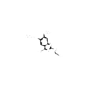 COc1cc2nc(NCC(C)C)nc(Cl)c2cc1OC